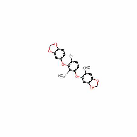 CCc1ccc(Oc2cc3c(cc2C=O)OCO3)c(C(=O)O)c1Oc1ccc2c(c1)OCO2